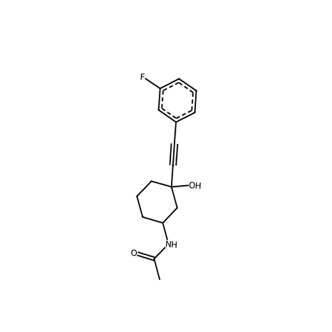 CC(=O)NC1CCCC(O)(C#Cc2cccc(F)c2)C1